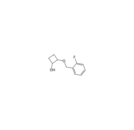 OC1CCC1OCc1ccccc1F